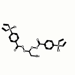 [CH2]CC(C)C[C](OOC(=O)c1ccc([Si](C=C)(C=C)CC)cc1)OOC(=O)c1ccc([Si](C=C)(C=C)CC)cc1